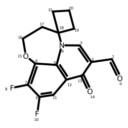 O=Cc1cn2c3c(c(F)c(F)cc3c1=O)OCCC21CCC1